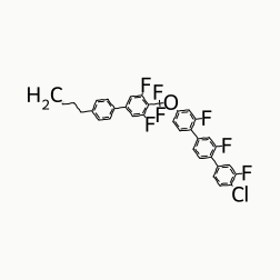 C=CCCc1ccc(-c2cc(F)c(C(F)(F)Oc3ccc(-c4ccc(-c5ccc(Cl)c(F)c5)c(F)c4)c(F)c3)c(F)c2)cc1